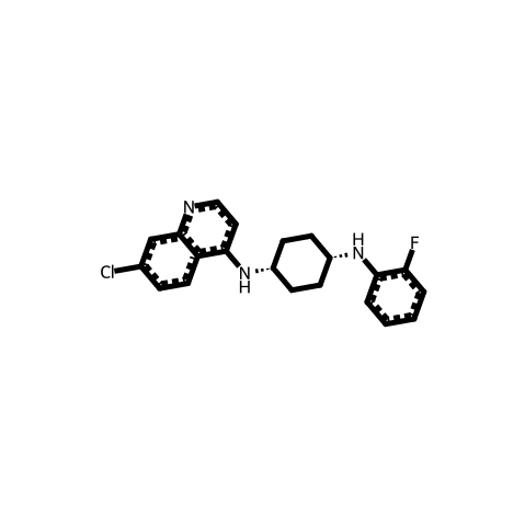 Fc1ccccc1N[C@H]1CC[C@@H](Nc2ccnc3cc(Cl)ccc23)CC1